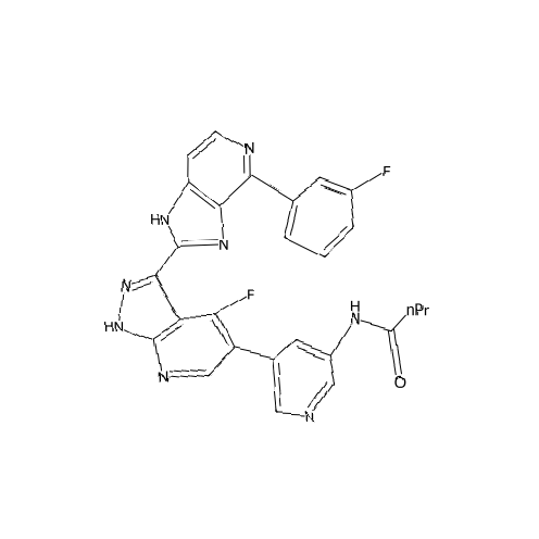 CCCC(=O)Nc1cncc(-c2cnc3[nH]nc(-c4nc5c(-c6cccc(F)c6)nccc5[nH]4)c3c2F)c1